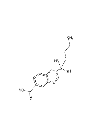 CCCCS(S)(S)c1ccc2cc(C(=O)O)ccc2c1